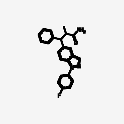 CC(C(N)=O)C(c1ccccc1)c1ccc2c(cnn2-c2ccc(F)cc2)c1